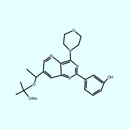 COC(C)(C)OC(C)c1cnc2c(N3CCOCC3)nc(-c3cccc(O)c3)nc2c1